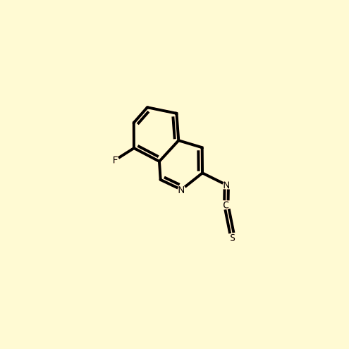 Fc1cccc2cc(N=C=S)ncc12